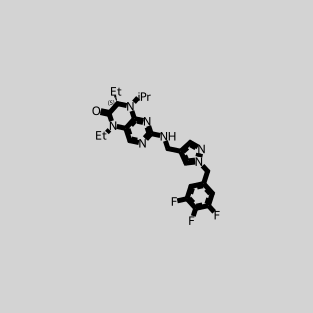 CC[C@H]1C(=O)N(CC)c2cnc(NCc3cnn(Cc4cc(F)c(F)c(F)c4)c3)nc2N1C(C)C